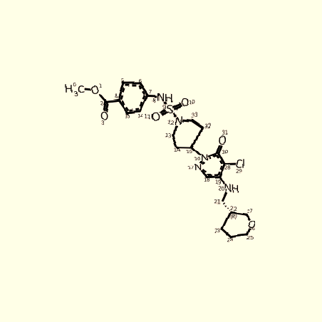 COC(=O)c1ccc(NS(=O)(=O)N2CCC(n3ncc(NC[C@H]4CCCOC4)c(Cl)c3=O)CC2)cc1